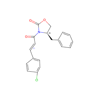 O=C(/C=C/c1ccc(Cl)cc1)N1C(=O)OC[C@H]1Cc1ccccc1